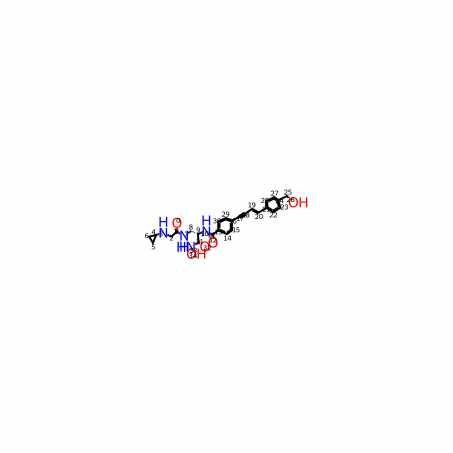 O=C(CNC1CC1)NC[C@H](NC(=O)c1ccc(C#CC=Cc2ccc(CO)cc2)cc1)C(=O)NO